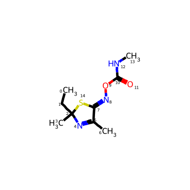 CCC1(C)N=C(C)C(=NOC(=O)NC)S1